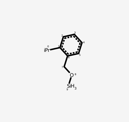 CC(C)c1ccccc1CO[SiH3]